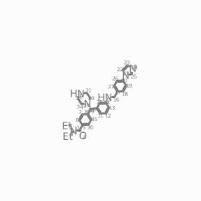 CCN(CC)C(=O)c1ccc([C@@H](c2cccc(NCc3ccc(-n4ccnc4)cc3)c2)N2CCNCC2)cc1